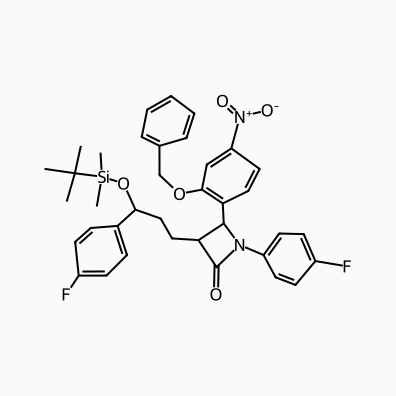 CC(C)(C)[Si](C)(C)OC(CCC1C(=O)N(c2ccc(F)cc2)C1c1ccc([N+](=O)[O-])cc1OCc1ccccc1)c1ccc(F)cc1